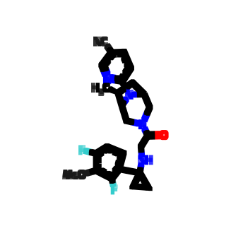 COc1c(F)ccc(C2(NCC(=O)N3CC4C[C@H](C)C(C3)N4c3ccc(C#N)cn3)CC2)c1F